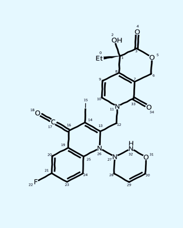 CC[C@@]1(O)C(=O)OCc2c1ccn(CC1=C(I)C(=C=O)c3cc(F)ccc3N1N1CC=CON1)c2=O